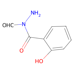 NN(C=O)C(=O)c1ccccc1O